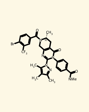 CNC(=O)c1ccc(-n2c(-n3nc(C)c(C)c3C)nc3c(c2=O)C[C@@H](C)N(C(=O)c2ccc(Br)c(C(F)(F)F)c2)C3)cc1